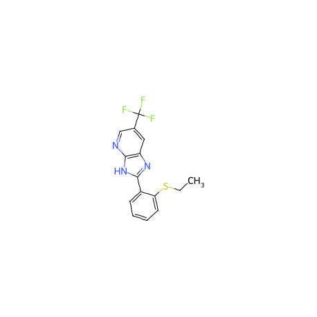 CCSc1ccccc1-c1nc2cc(C(F)(F)F)cnc2[nH]1